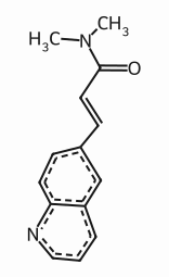 CN(C)C(=O)/C=C/c1ccc2ncccc2c1